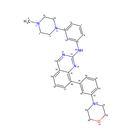 CN1CCN(c2cccc(Nc3ncc4cccc(-c5cccc(N6CCOCC6)c5)c4n3)c2)CC1